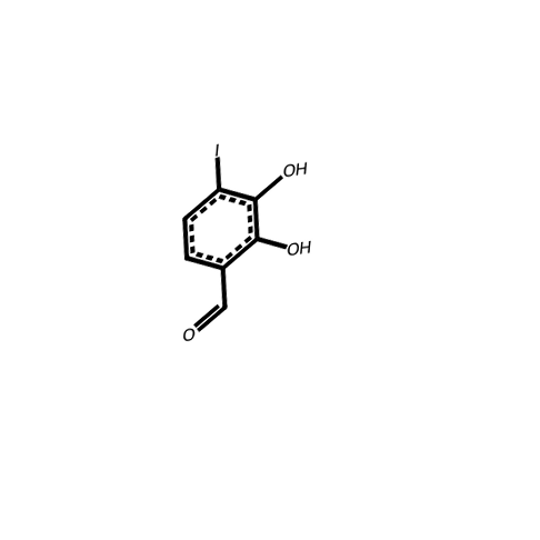 O=Cc1ccc(I)c(O)c1O